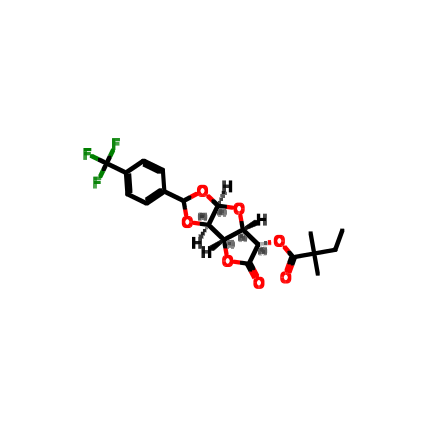 CCC(C)(C)C(=O)O[C@@H]1C(=O)O[C@@H]2[C@H]3OC(c4ccc(C(F)(F)F)cc4)O[C@H]3O[C@@H]21